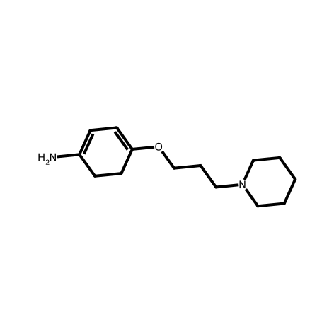 NC1=CC=C(OCCCN2CCCCC2)CC1